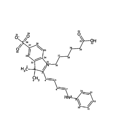 CC1(C)C(/C=C/C=C/Nc2ccccc2)=[N+](CCCCCC(=O)O)c2ccc(S(=O)(=O)[O-])cc21